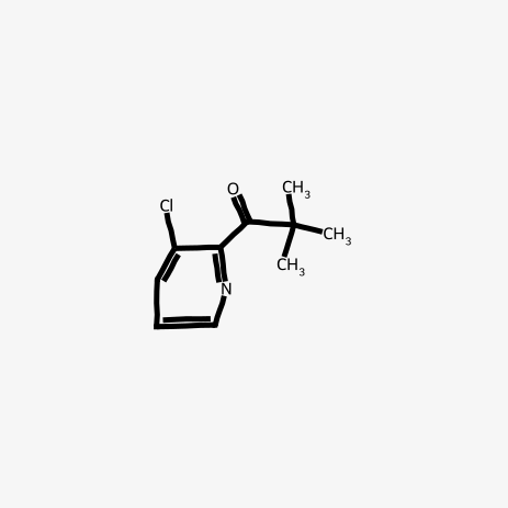 CC(C)(C)C(=O)c1ncccc1Cl